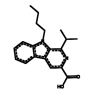 CCCCn1c2ccccc2c2cc(C(=O)O)nc(C(C)C)c21